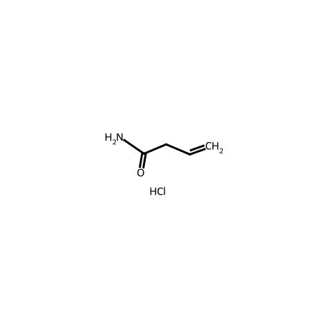 C=CCC(N)=O.Cl